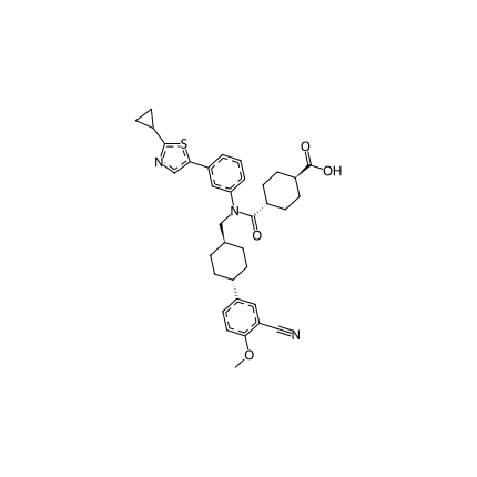 COc1ccc([C@H]2CC[C@H](CN(c3cccc(-c4cnc(C5CC5)s4)c3)C(=O)[C@H]3CC[C@H](C(=O)O)CC3)CC2)cc1C#N